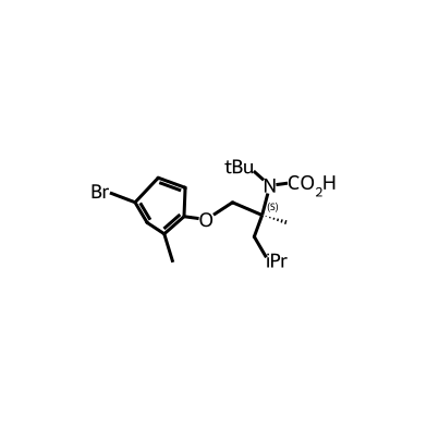 Cc1cc(Br)ccc1OC[C@](C)(CC(C)C)N(C(=O)O)C(C)(C)C